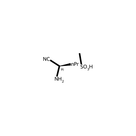 CCC[C@@H](N)C#N.CS(=O)(=O)O